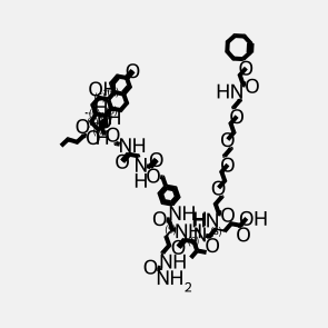 CCCC1O[C@@H]2C[C@H]3[C@@H]4CCC5=CC(=O)C=C[C@]5(C)C4[C@@H](O)C[C@]3(C)[C@]2(C(=O)COCNC(=O)CNC(=O)OCc2ccc(NC(=O)[C@H](CCCNC(N)=O)NC(=O)[C@@H](NC(=O)[C@H](CCC(=O)O)NC(=O)CCOCCOCCOCCOCCNC(=O)COC3C#CCCCCC3)C(C)C)cc2)O1